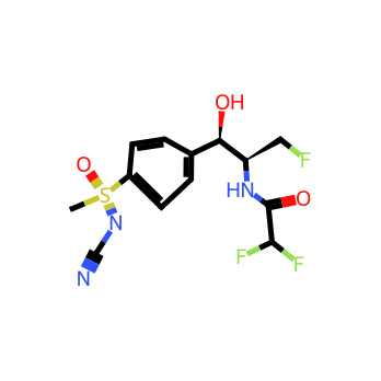 CS(=O)(=NC#N)c1ccc([C@@H](O)[C@@H](CF)NC(=O)C(F)F)cc1